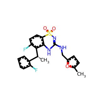 Cc1ccc(CNC2=NS(=O)(=O)c3ccc(F)c([C@H](C)c4ccccc4F)c3N2)o1